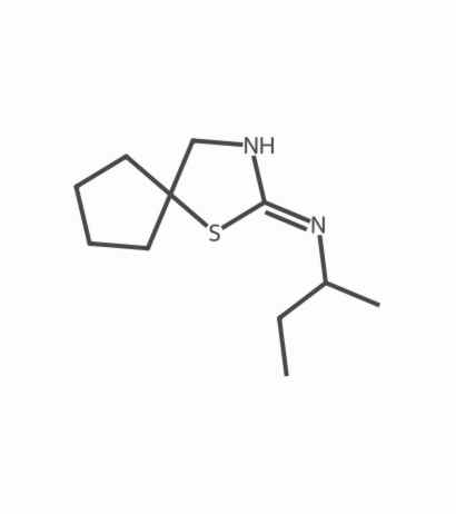 CCC(C)N=C1NCC2(CCCC2)S1